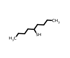 CCCCC(S)CCCC